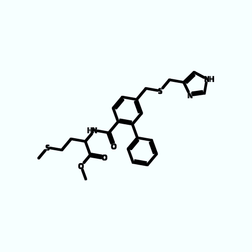 COC(=O)C(CCSC)NC(=O)c1ccc(CSCc2c[nH]cn2)cc1-c1ccccc1